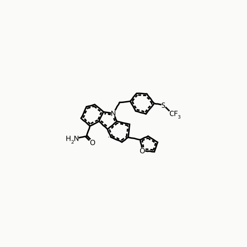 NC(=O)c1cccc2c1c1[c]cc(-c3ccco3)cc1n2Cc1ccc(SC(F)(F)F)cc1